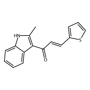 Cc1[nH]c2ccccc2c1C(=O)C=Cc1cccs1